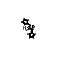 C1=CC(C[SiH2]CC2C=CC=C2)C=C1.[Zr]